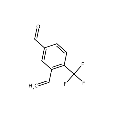 C=Cc1cc(C=O)ccc1C(F)(F)F